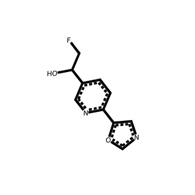 OC(CF)c1ccc(-c2cnco2)nc1